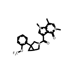 Cc1cn(C)c(=O)c2c(C(=O)N3CC4CC4(c4ccccc4OC(F)(F)F)C3)cn(C)c12